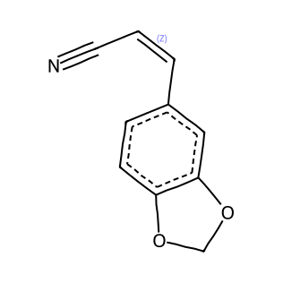 N#C/C=C\c1ccc2c(c1)OCO2